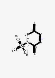 C=C(F)/C=C\C(=C)NS(=O)(=O)Cl